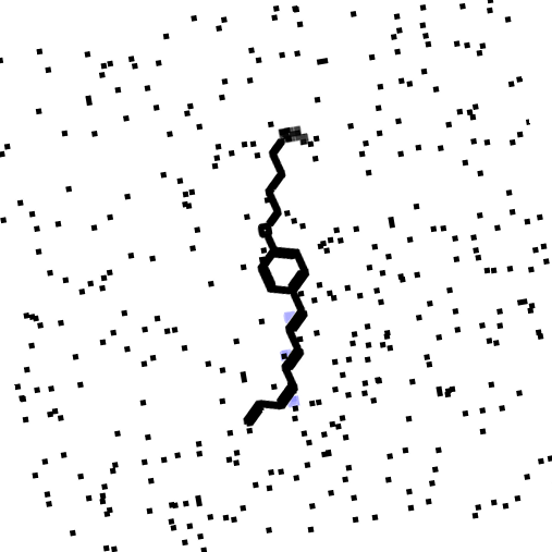 C=C\C=C/C=C/C=C/c1ccc(OCCCCN)cc1